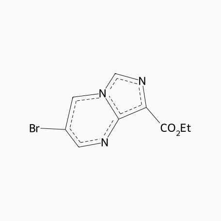 CCOC(=O)c1ncn2cc(Br)cnc12